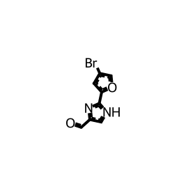 O=Cc1c[nH]c(-c2cc(Br)co2)n1